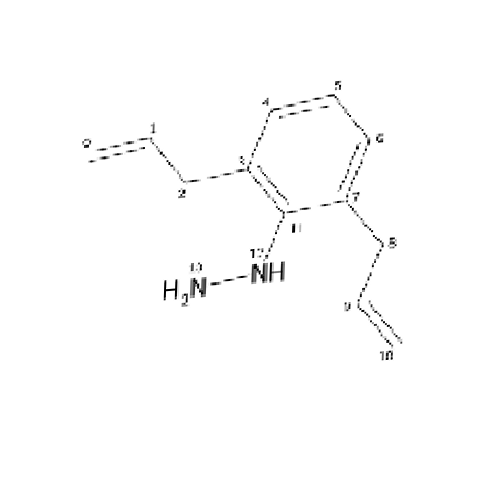 C=CCc1cccc(CC=C)c1NN